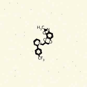 Cc1nc2ccc3c(c2o1)OC(CN1CC=CCC1c1ccc(C(F)(F)F)cc1)CO3